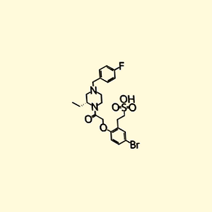 CC[C@@H]1CN(Cc2ccc(F)cc2)CCN1C(=O)COc1ccc(Br)cc1CCS(=O)(=O)O